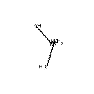 CCCCCCCCCCCCCCCCc1nc(C)nc(CCCCCCCCCCCCCCCC)n1